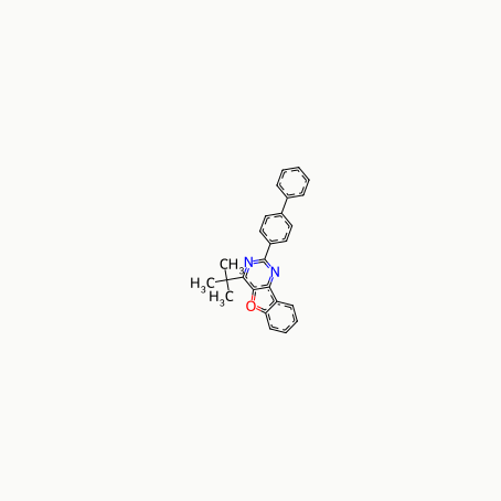 CC(C)(C)c1nc(-c2ccc(-c3ccccc3)cc2)nc2c1oc1ccccc12